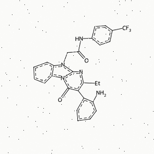 CCc1nc2n(CC(=O)Nc3ccc(C(F)(F)F)cc3)c3ccccc3n2c(=O)c1-c1ccccc1N